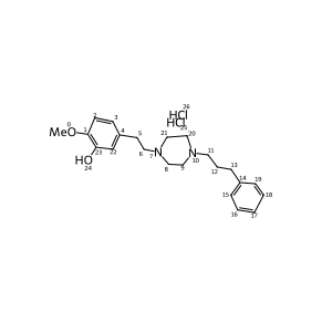 COc1ccc(CCN2CCN(CCCc3ccccc3)CC2)cc1O.Cl.Cl